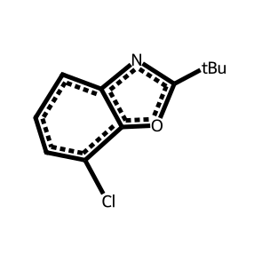 CC(C)(C)c1nc2cccc(Cl)c2o1